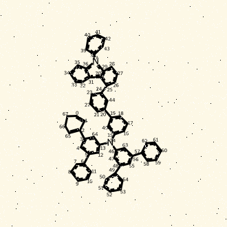 C1=CC(c2cc(-c3ccccc3)cc(N(c3cccc(-c4cccc(-c5cccc6c5c5ccccc5n6-c5ccccc5)c4)c3)c3cc(-c4ccccc4)cc(-c4ccccc4)c3)c2)=CCC1